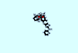 C=CC(=O)N1C[C@H]2CC[C@@H](C1)N2C(=O)c1cc(Sc2cnc(Nc3ccccn3)s2)c(C)cc1OC